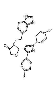 O=C1COC(c2cn(C3C=CC(Br)=CC3)nc2-c2ccc(F)cc2)N1CCc1ccc2[nH]cnc2c1